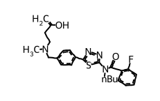 C=C(O)CCN(C)Cc1ccc(-c2nnc(N(CCCC)C(=O)c3ccccc3F)s2)cc1